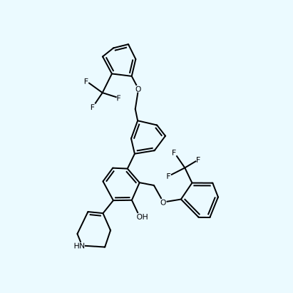 Oc1c(C2=CCNCC2)ccc(-c2cccc(COc3ccccc3C(F)(F)F)c2)c1COc1ccccc1C(F)(F)F